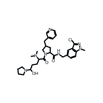 CN(C)C(CCC(O)N1CCCC1)C(=O)N1CC(Cc2cccnc2)CC1C(=O)NCc1ccc2c(c1)c(Cl)nn2C